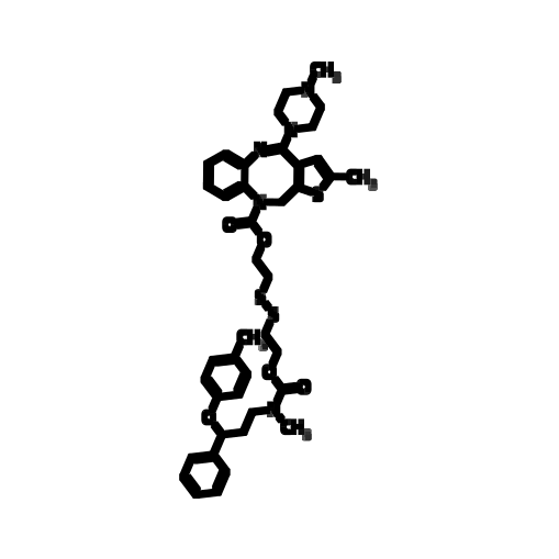 Cc1ccc(OC(CCN(C)C(=O)OCCSSCCOC(=O)N2Cc3sc(C)cc3/C(N3CCN(C)CC3)=N\c3ccccc32)c2ccccc2)cc1